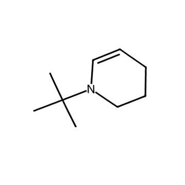 CC(C)(C)N1C=CCCC1